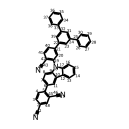 N#Cc1ccc(-c2ccc3c(c2)c2ccccc2n3-c2cc(-c3cc(-c4ccccc4)cc(-c4ccccc4)c3)ccc2C#N)c(C#N)c1